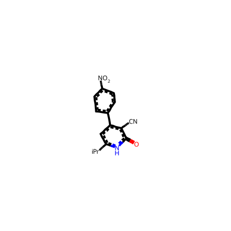 CC(C)c1cc(-c2ccc([N+](=O)[O-])cc2)c(C#N)c(=O)[nH]1